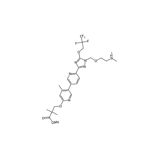 COC(=O)C(C)(C)COc1cc(C)c(-c2ccc(-c3nc(OCC(F)(F)C(F)(F)F)n(COCC[SiH](C)C)n3)nc2)cn1